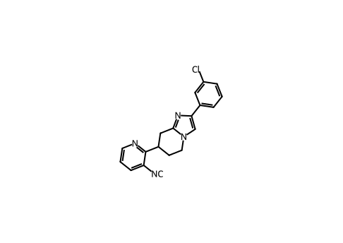 [C-]#[N+]c1cccnc1C1CCn2cc(-c3cccc(Cl)c3)nc2C1